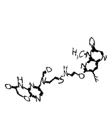 Cn1c(=O)cnc2cc(F)c(OCCNSCCN(C=O)c3cnc4c(n3)NC(=O)CO4)nc21